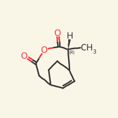 C[C@H]1C(=O)OC(=O)CC2C=CC1CC2